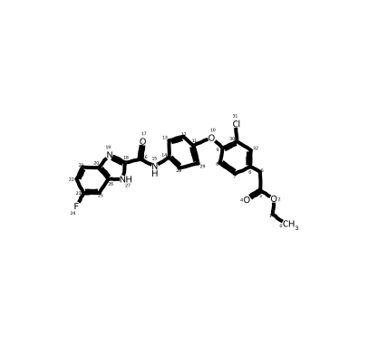 CCOC(=O)Cc1ccc(Oc2ccc(NC(=O)c3nc4ccc(F)cc4[nH]3)cc2)c(Cl)c1